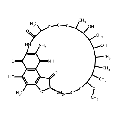 COC1CCOC2(C)Oc3c(C)c(O)c4c(c3C2=O)C(=N)C(N)=C(NC(=O)C(C)CCCC(C)C(O)C(C)C(O)C(C)C(C)C1C)C4=O